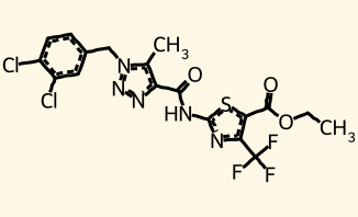 CCOC(=O)c1sc(NC(=O)c2nnn(Cc3ccc(Cl)c(Cl)c3)c2C)nc1C(F)(F)F